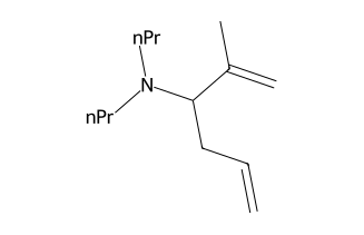 C=CCC(C(=C)C)N(CCC)CCC